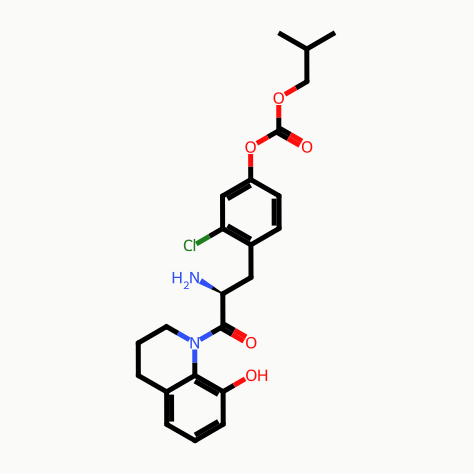 CC(C)COC(=O)Oc1ccc(C[C@H](N)C(=O)N2CCCc3cccc(O)c32)c(Cl)c1